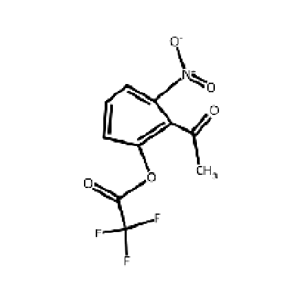 CC(=O)c1c(OC(=O)C(F)(F)F)cccc1[N+](=O)[O-]